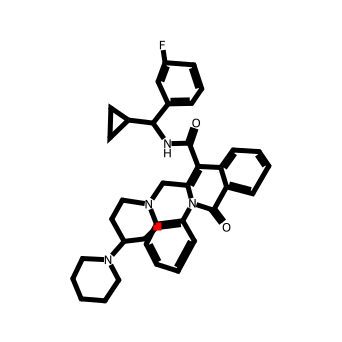 O=C(NC(c1cccc(F)c1)C1CC1)c1c(CN2CCC(N3CCCCC3)CC2)n(-c2ccccc2)c(=O)c2ccccc12